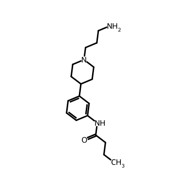 CCCC(=O)Nc1cccc(C2CCN(CCCN)CC2)c1